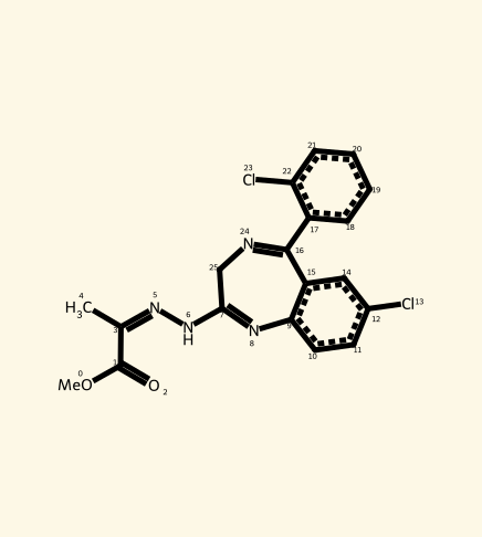 COC(=O)/C(C)=N\NC1=Nc2ccc(Cl)cc2C(c2ccccc2Cl)=NC1